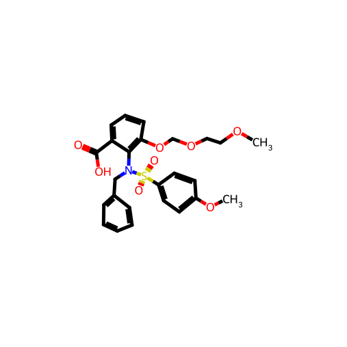 COCCOCOc1cccc(C(=O)O)c1N(Cc1ccccc1)S(=O)(=O)c1ccc(OC)cc1